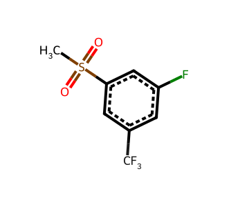 CS(=O)(=O)c1cc(F)cc(C(F)(F)F)c1